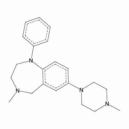 CN1CCN(c2ccc3c(c2)CN(C)CCN3c2ccccc2)CC1